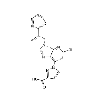 O=C(O)c1ccn(-c2nc(Cl)nc3c2ncn3CC(=O)c2ccccn2)n1